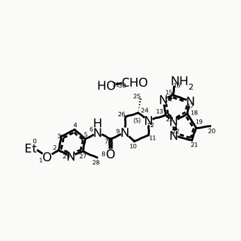 CCOc1ccc(NC(=O)N2CCN(c3nc(N)nc4c(C)cnn34)[C@@H](C)C2)c(C)n1.O=CO